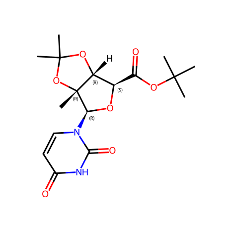 CC(C)(C)OC(=O)[C@H]1O[C@@H](n2ccc(=O)[nH]c2=O)[C@]2(C)OC(C)(C)O[C@H]12